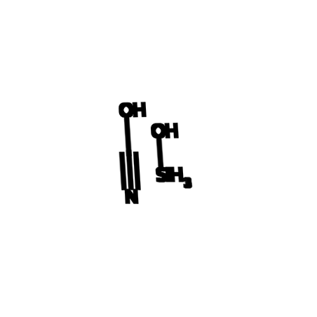 N#CO.O[SiH3]